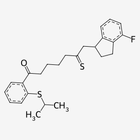 CC(C)Sc1ccccc1C(=O)CCCCC(=S)CC1CCc2c(F)cccc21